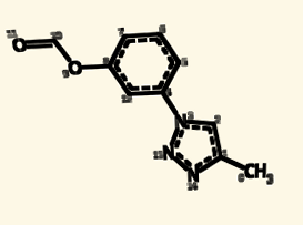 Cc1cn(-c2cccc(OC=O)c2)nn1